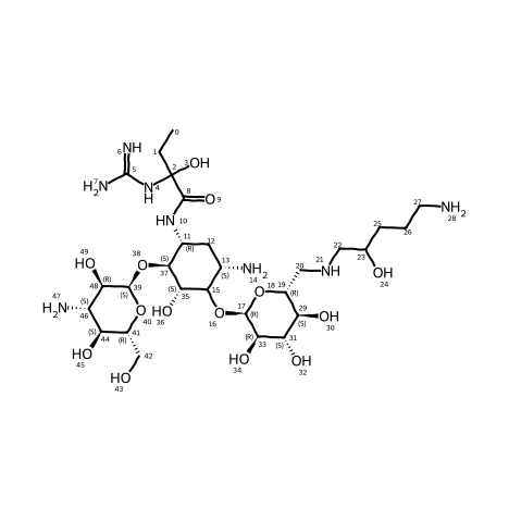 CCC(O)(NC(=N)N)C(=O)N[C@@H]1C[C@H](N)C(O[C@H]2O[C@H](CNCC(O)CCCN)[C@@H](O)[C@H](O)[C@H]2O)[C@H](O)[C@H]1O[C@H]1O[C@H](CO)[C@@H](O)[C@H](N)[C@H]1O